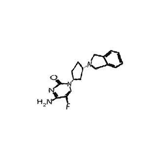 Nc1nc(=O)n([C@H]2CC[C@H](N3Cc4ccccc4C3)C2)cc1F